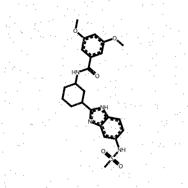 COc1cc(OC)cc(C(=O)NC2CCCC(c3nc4cc(NS(C)(=O)=O)ccc4[nH]3)C2)c1